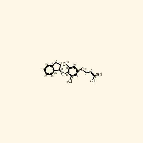 ClC(Cl)=CCOc1cc(Cl)c(OC2CCc3ccccc32)c(Cl)c1